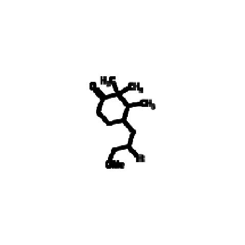 CCC(COC)CC1CCC(=O)C(C)(C)C1C